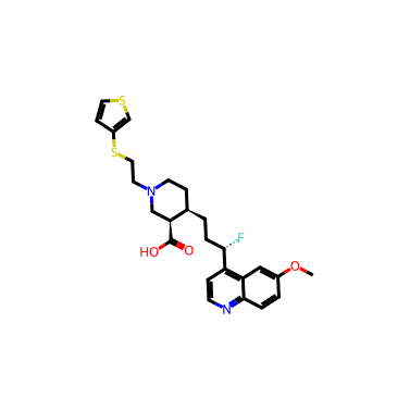 COc1ccc2nccc([C@@H](F)CC[C@@H]3CCN(CCSc4ccsc4)C[C@@H]3C(=O)O)c2c1